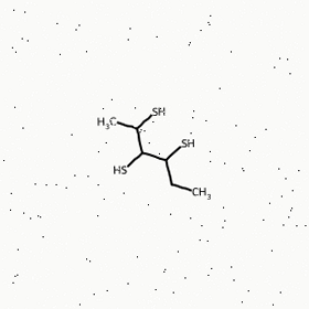 CCC(S)C(S)C(C)S